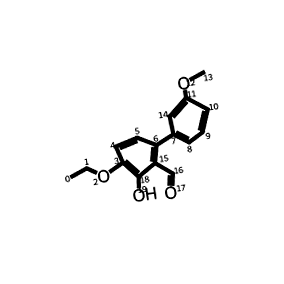 CCOc1ccc(-c2cccc(OC)c2)c(C=O)c1O